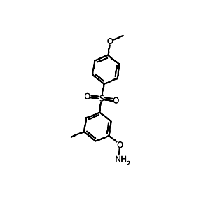 COc1ccc(S(=O)(=O)c2cc(C)cc(ON)c2)cc1